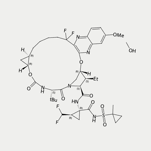 CC[C@@H]1[C@@H]2CN(C(=O)[C@H](C(C)(C)C)NC(=O)O[C@@H]3C[C@H]3CCCCC(F)(F)c3nc4ccc(OC)cc4nc3O2)[C@@H]1C(=O)N[C@]1(C(=O)NS(=O)(=O)C2(C)CC2)C[C@H]1C(F)F.CO